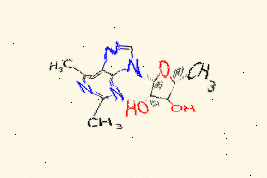 Cc1nc(C)c2ncn([C@@H]3O[C@H](C)C(O)[C@@H]3O)c2n1